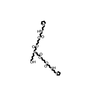 O=C(CCNCCCN1CCCC1)OCCCCOC(=O)CCN(CCCCCO)CCC(=O)OCCCCOC(=O)CCNCCCN1CCCC1